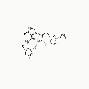 NC(=O)c1cc(Cc2ccnc(N)c2)c(F)c(F)c1Nc1ccc(I)cc1F